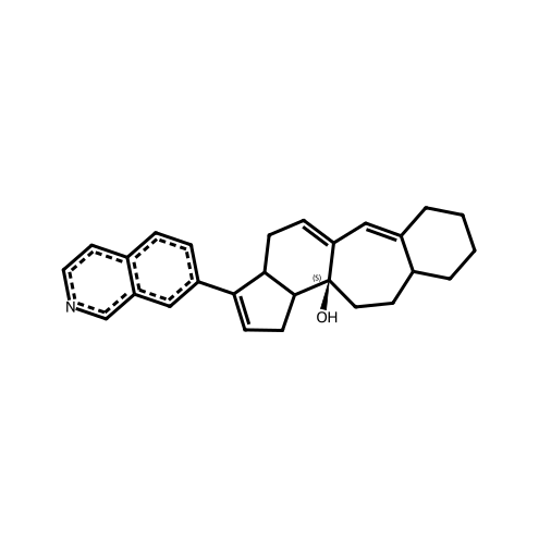 O[C@]12CCC3CCCCC3=CC1=CCC1C(c3ccc4ccncc4c3)=CCC12